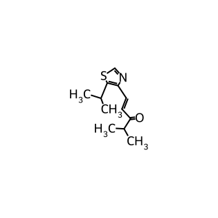 CC(C)C(=O)C=Cc1ncsc1C(C)C